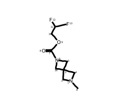 CN1CC2(C1)CN(C(=O)OCC(F)F)C2